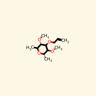 C=CCOC1C(OC)[C@H](C)OC(C)[C@@H]1OC